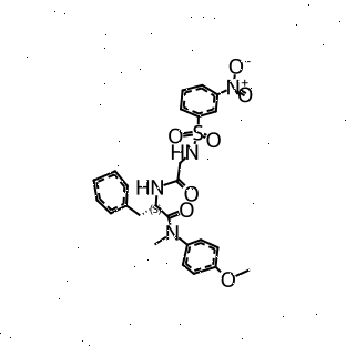 COc1ccc(N(C)C(=O)[C@H](Cc2ccccc2)NC(=O)CNS(=O)(=O)c2cccc([N+](=O)[O-])c2)cc1